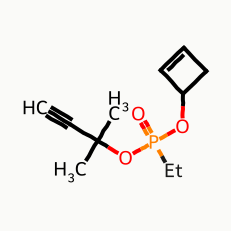 C#CC(C)(C)OP(=O)(CC)OC1C=CC1